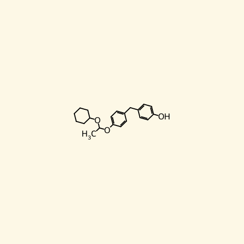 CC(Oc1ccc(Cc2ccc(O)cc2)cc1)OC1CCCCC1